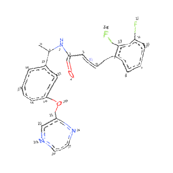 CC(NC(=O)/C=C/c1cccc(F)c1F)c1cccc(Oc2cnccn2)c1